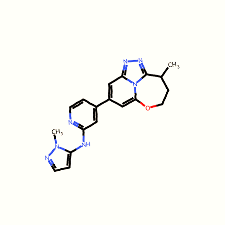 CC1CCOc2cc(-c3ccnc(Nc4ccnn4C)c3)cc3nnc1n23